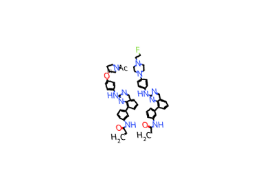 C=CC(=O)Nc1cccc(-c2cccc3cnc(Nc4ccc(N5CCN(CCF)CC5)cc4)nc23)c1.C=CC(=O)Nc1cccc(-c2cccc3cnc(Nc4ccc(O[C@H]5CCN(C(C)=O)C5)cc4)nc23)c1